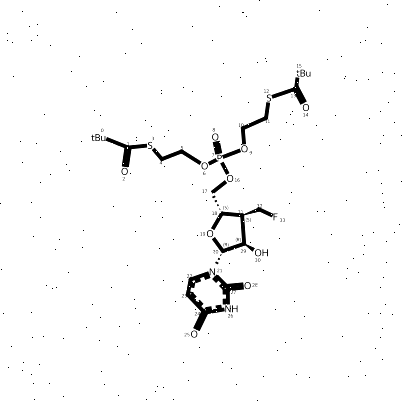 CC(C)(C)C(=O)SCCOP(=O)(OCCSC(=O)C(C)(C)C)OC[C@H]1O[C@@H](n2ccc(=O)[nH]c2=O)[C@H](O)[C@@H]1CF